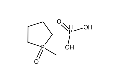 CP1(=O)CCCC1.O=[PH](O)O